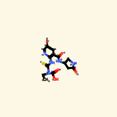 CCN(C(=O)O)C(=S)Nc1ncc(Br)cc1C(=O)NC1CNC(=O)C1